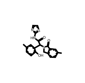 Cc1ccc2c(c1)C(=O)N(C(C(=O)Nc1nccs1)c1cc(C)ccc1O)C2